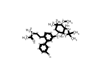 CO[C@@H]1[C@H]2OC(C)(C)O[C@H]2[C@H](Oc2ccc(CCN(C)C(C)=O)c(-c3cccc(F)c3)c2)CC1(C)C